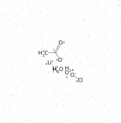 CC(=O)[O-].O.O.[Li+].[Li+].[O-]Cl